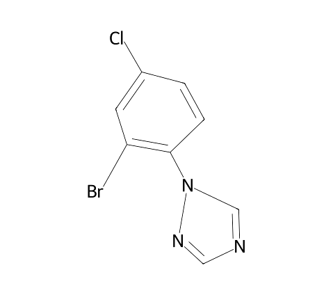 Clc1ccc(-n2cncn2)c(Br)c1